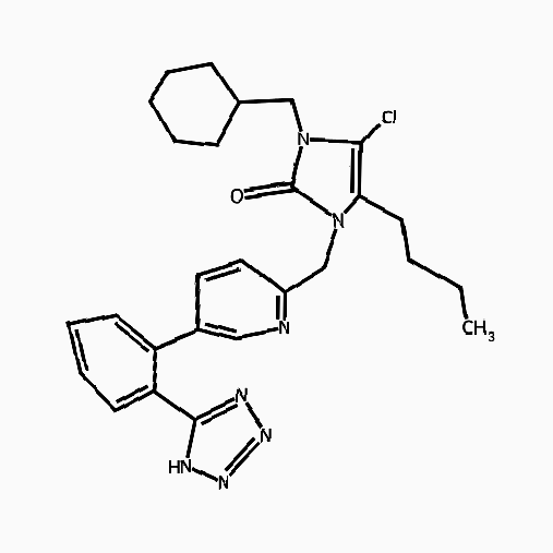 CCCCc1c(Cl)n(CC2CCCCC2)c(=O)n1Cc1ccc(-c2ccccc2-c2nnn[nH]2)cn1